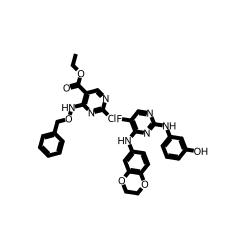 CCOC(=O)c1cnc(Cl)nc1NOCc1ccccc1.Oc1cccc(Nc2ncc(F)c(Nc3ccc4c(c3)OCCO4)n2)c1